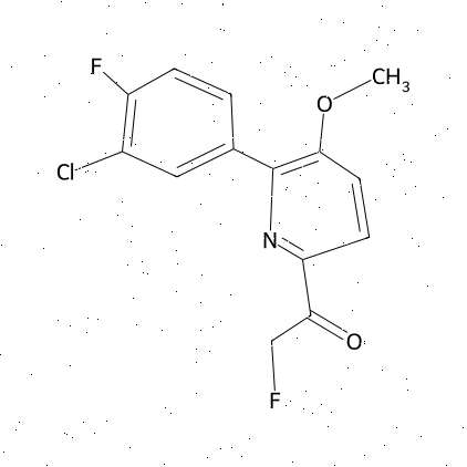 COc1ccc(C(=O)CF)nc1-c1ccc(F)c(Cl)c1